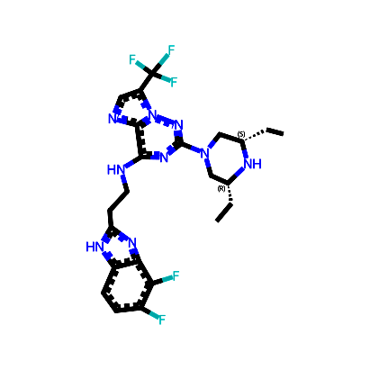 CC[C@@H]1CN(c2nc(NCCc3nc4c(F)c(F)ccc4[nH]3)c3ncc(C(F)(F)F)n3n2)C[C@H](CC)N1